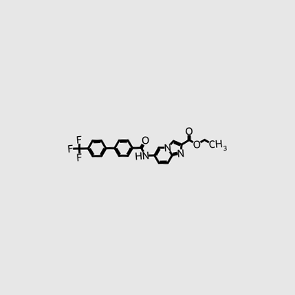 CCOC(=O)c1cn2cc(NC(=O)c3ccc(-c4ccc(C(F)(F)F)cc4)cc3)ccc2n1